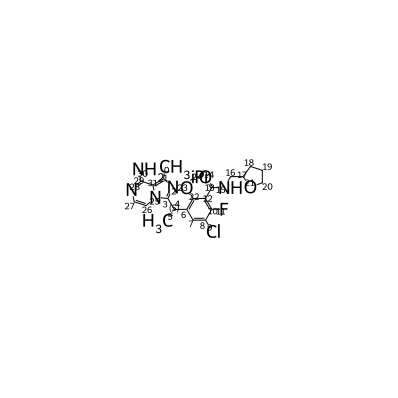 Cc1nc([C@@H](C)c2cc(Cl)c(F)c(C(=O)NCC3CCCO3)c2OC(C)C)n2ccnc(N)c12